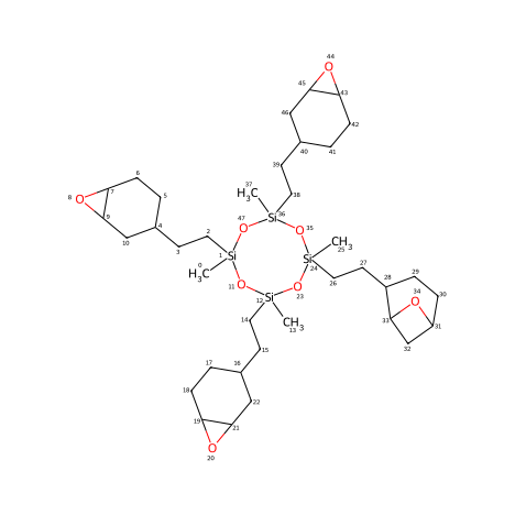 C[Si]1(CCC2CCC3OC3C2)O[Si](C)(CCC2CCC3OC3C2)O[Si](C)(CCC2CCC3CC2O3)O[Si](C)(CCC2CCC3OC3C2)O1